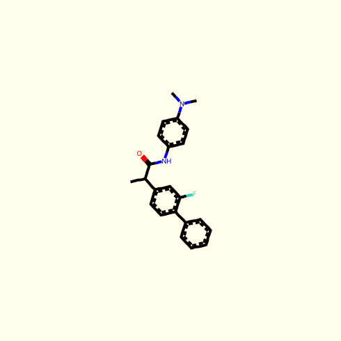 CC(C(=O)Nc1ccc(N(C)C)cc1)c1ccc(-c2ccccc2)c(F)c1